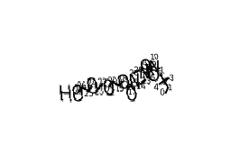 CCC(C)(C)COP(=O)(N(C)C)N1CCN(C(=O)OCCOCCOCCO)CC1